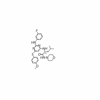 COc1ccc(Sc2cc(N[C@@H](CC(C)C)C(=O)NN3CCOCC3)nc(Nc3cccc(F)c3)n2)cc1